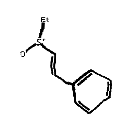 CC[S+]([O-])C=Cc1ccccc1